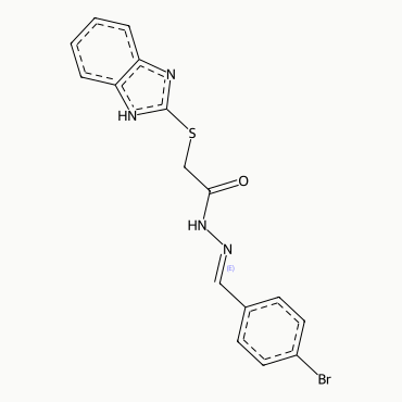 O=C(CSc1nc2ccccc2[nH]1)N/N=C/c1ccc(Br)cc1